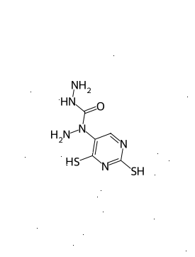 NNC(=O)N(N)c1cnc(S)nc1S